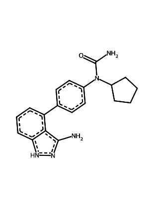 NC(=O)N(c1ccc(-c2cccc3[nH]nc(N)c23)cc1)C1CCCC1